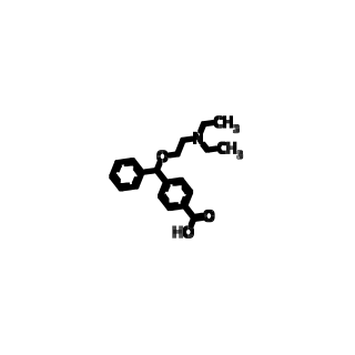 CCN(CC)CCOC(c1ccccc1)c1ccc(C(=O)O)cc1